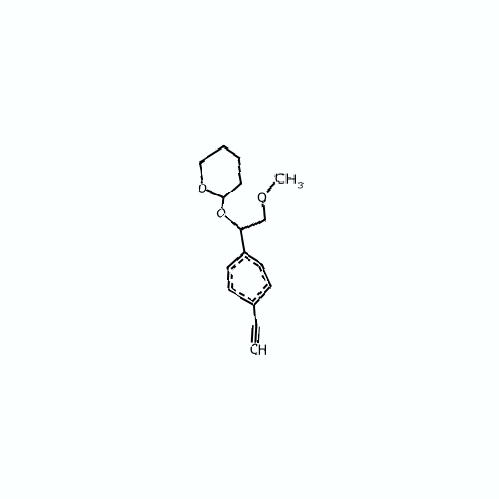 C#Cc1ccc(C(COC)OC2CCCCO2)cc1